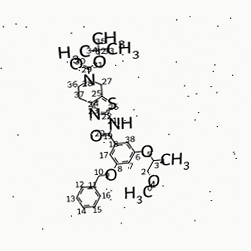 COCC(C)Oc1cc(OCc2ccccc2)cc(C(=O)Nc2nc3c(s2)CN(C(=O)OC(C)(C)C)CC3)c1